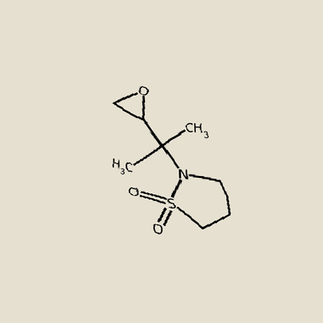 CC(C)(C1CO1)N1CCCS1(=O)=O